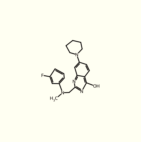 CN(Cc1nc(O)c2ccc(N3CCCCC3)cc2n1)c1cccc(F)c1